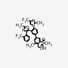 Cc1nc(-c2ccccc2C(F)(F)F)c(-c2cc(-c3cc(C)c(CO)c(S(C)(=O)=O)c3)ccc2-n2cc(C(F)(F)F)nc2C)o1